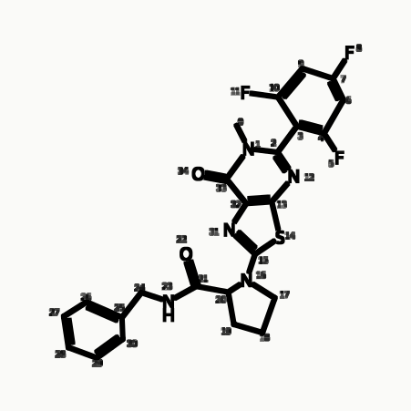 Cn1c(-c2c(F)cc(F)cc2F)nc2sc(N3CCCC3C(=O)NCc3ccccc3)nc2c1=O